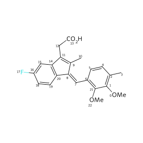 COc1c(C)ccc(C=C2C(C)=C(CC(=O)O)c3cc(F)ccc32)c1OC